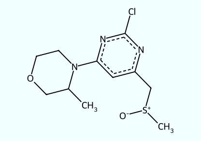 CC1COCCN1c1cc(C[S+](C)[O-])nc(Cl)n1